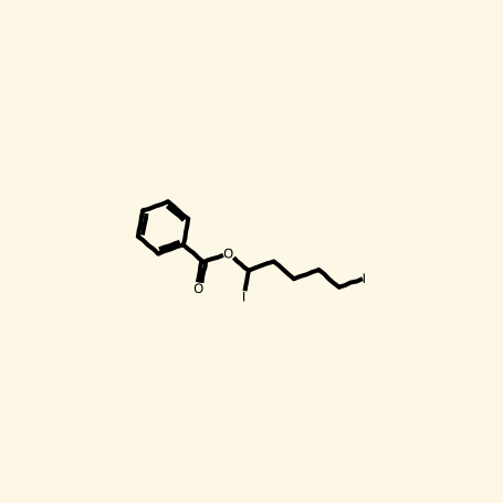 O=C(OC(I)CCCCI)c1ccccc1